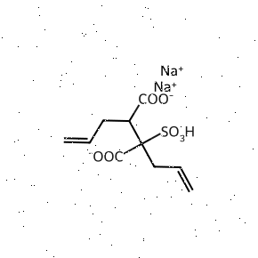 C=CCC(C(=O)[O-])C(CC=C)(C(=O)[O-])S(=O)(=O)O.[Na+].[Na+]